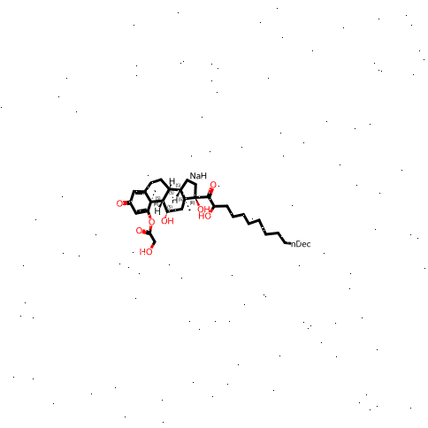 CCCCCCCCCCCCCCCCCCC(O)C(=O)[C@@]1(O)CC[C@H]2[C@@H]3CCC4=CC(=O)C=C(OC(=O)CO)[C@]4(C)[C@H]3[C@@H](O)C[C@@]21C.[NaH]